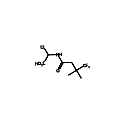 CCC(NC(=O)CC(C)(C)C(F)(F)F)C(=O)O